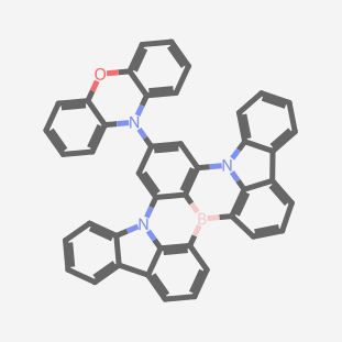 c1ccc2c(c1)Oc1ccccc1N2c1cc2c3c(c1)-n1c4ccccc4c4cccc(c41)B3c1cccc3c4ccccc4n-2c13